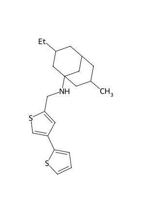 CCC1CC2CC(C)CC(NCc3cc(-c4cccs4)cs3)(C1)C2